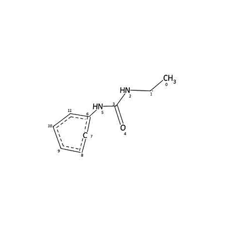 C[CH]NC(=O)Nc1ccccc1